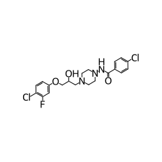 O=C(NN1CCN(CC(O)COc2ccc(Cl)c(F)c2)CC1)c1ccc(Cl)cc1